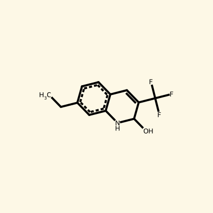 CCc1ccc2c(c1)NC(O)C(C(F)(F)F)=C2